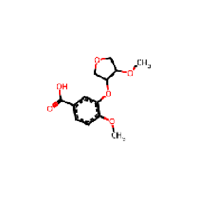 COc1ccc(C(=O)O)cc1OC1COCC1OC